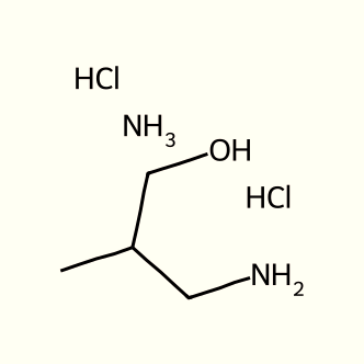 CC(CN)CO.Cl.Cl.N